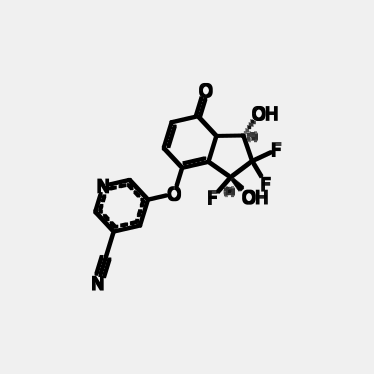 N#Cc1cncc(OC2=C3C(C(=O)C=C2)[C@H](O)C(F)(F)[C@]3(O)F)c1